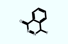 O=C1N=NC(F)c2ccccc21